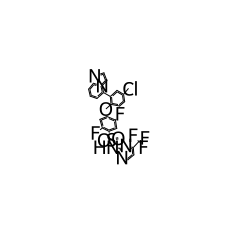 O=S(=O)(Nc1nccc(C(F)(F)F)n1)c1cc(F)c(Oc2ccc(Cl)cc2-c2cccc3nccn23)cc1F